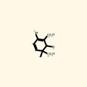 CC(C)C1=C(C(=O)O)C(Br)C(C)(C(=O)O)C=C1